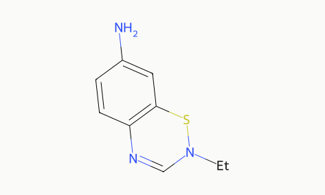 CCN1C=Nc2ccc(N)cc2S1